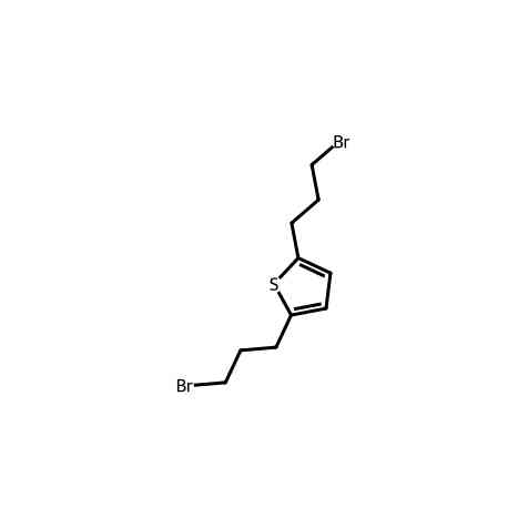 BrCCCc1ccc(CCCBr)s1